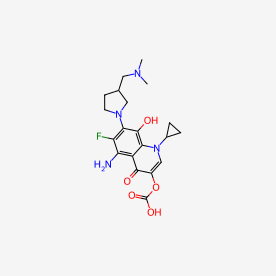 CN(C)CC1CCN(c2c(F)c(N)c3c(=O)c(OC(=O)O)cn(C4CC4)c3c2O)C1